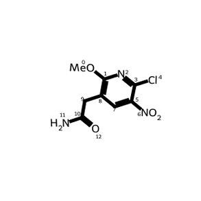 COc1nc(Cl)c([N+](=O)[O-])cc1CC(N)=O